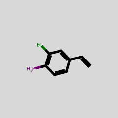 C=Cc1ccc(P)c(Br)c1